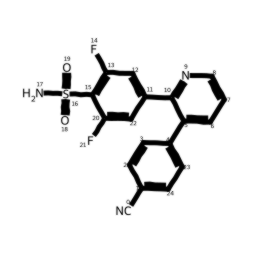 N#Cc1ccc(-c2cccnc2-c2cc(F)c(S(N)(=O)=O)c(F)c2)cc1